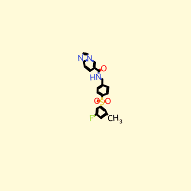 Cc1cc(F)cc(S(=O)(=O)c2ccc(CNC(=O)c3ccc4nccn4c3)cc2)c1